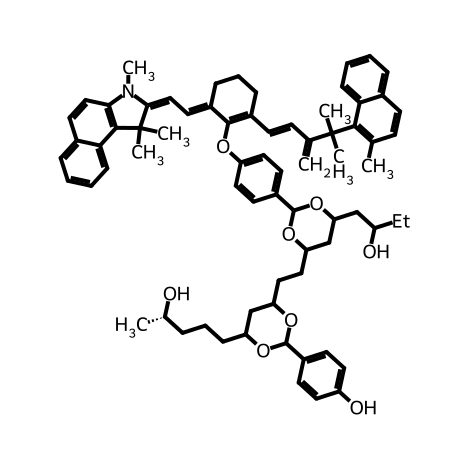 C=C(/C=C/C1=C(Oc2ccc(C3OC(CCC4CC(CCC[C@H](C)O)OC(c5ccc(O)cc5)O4)CC(CC(O)CC)O3)cc2)C(=C/C=C2/N(C)c3ccc4ccccc4c3C2(C)C)/CCC1)C(C)(C)c1c(C)ccc2ccccc12